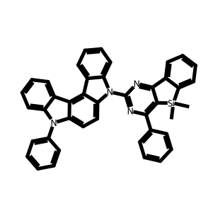 C[Si]1(C)c2ccccc2-c2nc(-n3c4ccccc4c4c5c6ccccc6n(-c6ccccc6)c5ccc43)nc(-c3ccccc3)c21